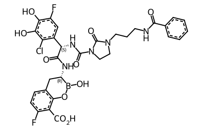 O=C(NCCCN1CCN(C(=O)N[C@H](C(=O)N[C@H]2Cc3ccc(F)c(C(=O)O)c3OB2O)c2cc(F)c(O)c(O)c2Cl)C1=O)c1ccccc1